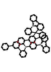 c1ccc(-c2cccc(-c3ccccc3N(c3ccc(-n4c5ccccc5c5ccccc54)cc3)c3ccccc3-c3ccc4c(c3)C3(c5ccccc5-4)c4ccccc4-n4c5ccccc5c5cccc3c54)c2)cc1